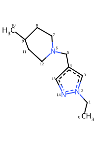 CCn1cc(CN2CCC(C)CC2)cn1